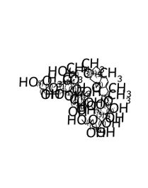 C[C@H](CC[C@@H](O[C@@H]1O[C@H](CO[C@@H]2OC[C@@H](O)C[C@H]2O)[C@@H](O)[C@H](O)[C@H]1O[C@H]1O[C@@H](CO)[C@H](O)[C@@H](O)[C@@H]1O)C(C)(C)O)C1CC[C@@]2(C)C3CC=C4C(CC[C@H](O[C@@H]5O[C@H](CO)[C@@H](C6O[C@H](CO)[C@@H](O)[C@H](O)[C@H]6O)[C@H](O)[C@H]5O)C4(C)C)[C@]3(C)CC[C@]12C